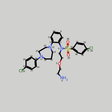 NCCOCCN(c1ccccc1N1CCCN(c2ccc(Cl)cc2)CC1)S(=O)(=O)c1ccc(Cl)cc1